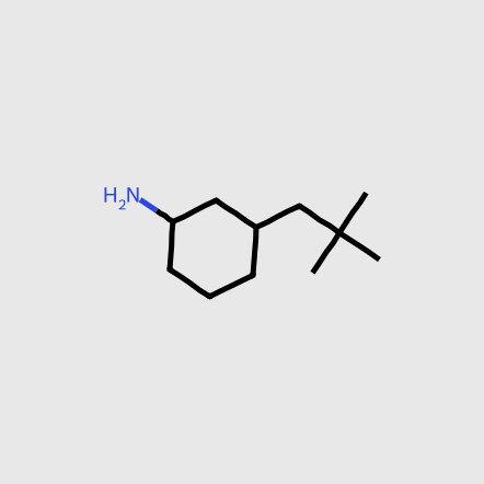 CC(C)(C)CC1CCCC(N)C1